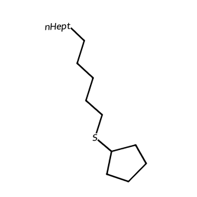 CCCCCCCCCCCCSC1CCCC1